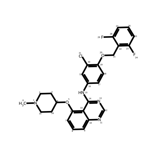 CN1CCC(Oc2cccc3ncnc(Nc4ccc(OCc5c(F)cccc5F)c(Cl)c4)c23)CC1